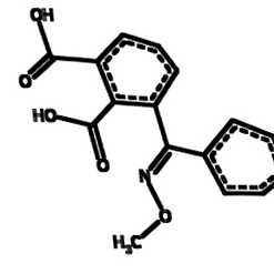 CON=C(c1ccccc1)c1cccc(C(=O)O)c1C(=O)O